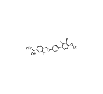 CCCC(O)c1ccc(COc2ccc(-c3ccc(OCC)c(F)c3F)cc2)c(F)c1